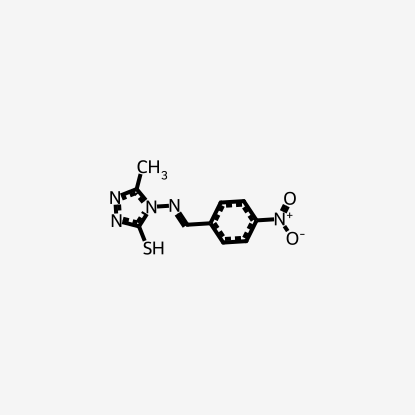 Cc1nnc(S)n1N=Cc1ccc([N+](=O)[O-])cc1